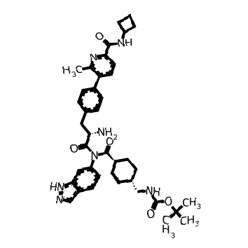 Cc1nc(C(=O)NC2CCC2)ccc1-c1ccc(C[C@H](N)C(=O)N(c2ccc3cn[nH]c3c2)C(=O)[C@H]2CC[C@H](CNC(=O)OC(C)(C)C)CC2)cc1